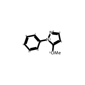 COc1ccnn1-c1ccccc1